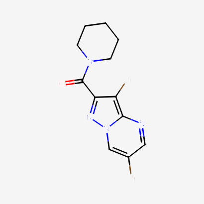 O=C(c1nn2cc(Br)cnc2c1Br)N1CCCCC1